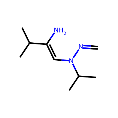 C=NN(/C=C(\N)C(C)C)C(C)C